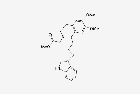 COC(=O)CN1CCc2cc(OC)c(OC)cc2C1CCCc1c[nH]c2ccccc12